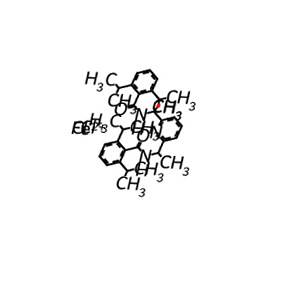 CC(C)c1cccc(C(C)C)c1C(=O)NC(C)c1cccc(C(C)NC(=O)c2c(C(C)C)cccc2C(C)C)n1.[Cl-].[Cl-].[Fe+2]